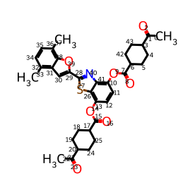 CC(=O)C1CCC(C(=O)Oc2ccc(OC(=O)C3CCC(C(C)=O)CC3)c3sc(-c4cc5c(C)ccc(C)c5o4)nc23)CC1